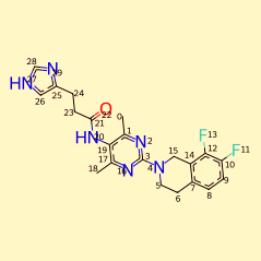 Cc1nc(N2CCc3ccc(F)c(F)c3C2)nc(C)c1NC(=O)CCc1c[nH]cn1